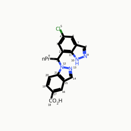 CCCC(c1cc(Cl)cc2cn[nH]c12)n1ncc2cc(C(=O)O)ccc21